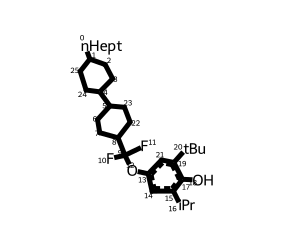 CCCCCCCC1CCC(C2CCC(C(F)(F)Oc3cc(C(C)C)c(O)c(C(C)(C)C)c3)CC2)CC1